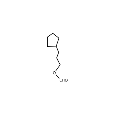 O=COCC[CH]C1CCCC1